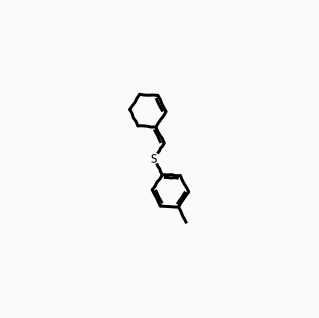 Cc1ccc(SC=C2C=CCCC2)cc1